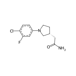 NC(=O)C[C@H]1CCN(c2ccc(Cl)c(F)c2)C1